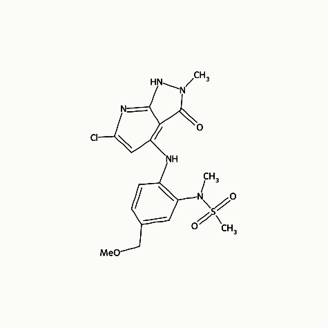 COCc1ccc(Nc2cc(Cl)nc3[nH]n(C)c(=O)c23)c(N(C)S(C)(=O)=O)c1